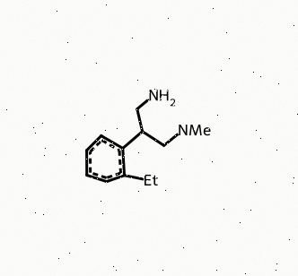 CCc1ccccc1C(CN)CNC